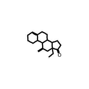 C=C1CC2(CC)C(=O)CCC2C2CCC3=CCCCC3C12